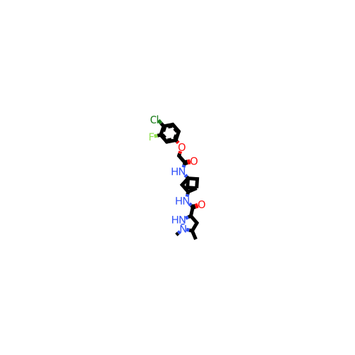 CC1CC(C(=O)NC2CC3(NC(=O)COc4ccc(Cl)c(F)c4)CC2C3)NN1C